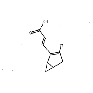 O=C(O)C=CC1=C(Cl)CC2CC12